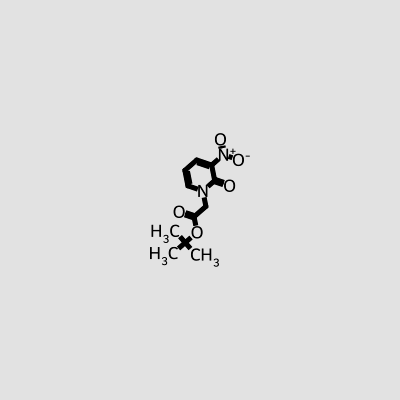 CC(C)(C)OC(=O)Cn1cccc([N+](=O)[O-])c1=O